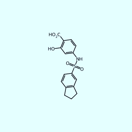 O=C(O)c1ccc(NS(=O)(=O)c2ccc3c(c2)CCC3)cc1O